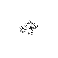 COC(=O)c1cnn(-c2cccc(-c3cccc(O[C@@H](C)C4CCCCC4)c3)c2)c1[C@@H]1C[C@H]1C#CCO